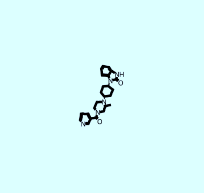 CC1CN(C(=O)c2cccnc2)CCN1[C@H]1CC[C@H](n2c(=O)[nH]c3ccccc32)CC1